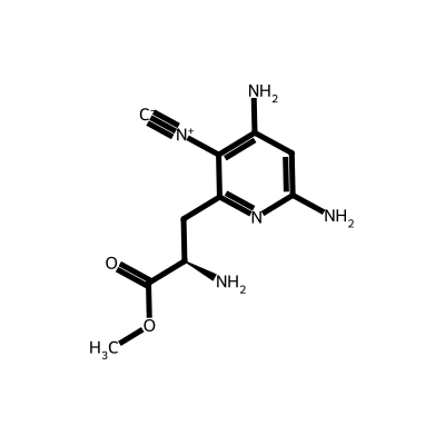 [C-]#[N+]c1c(N)cc(N)nc1C[C@@H](N)C(=O)OC